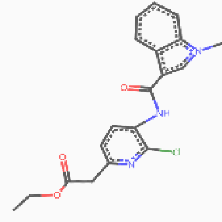 CCOC(=O)Cc1ccc(NC(=O)c2cn(C)c3ccccc23)c(Cl)n1